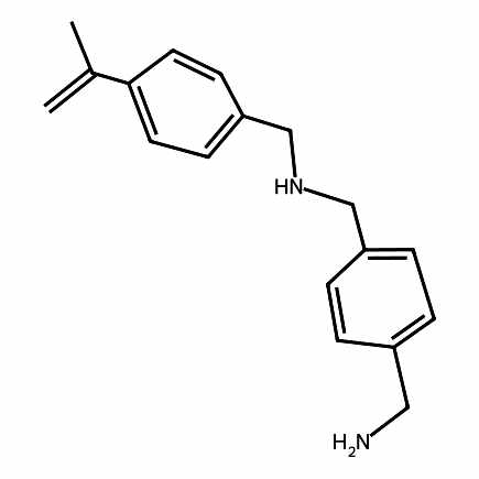 C=C(C)c1ccc(CNCc2ccc(CN)cc2)cc1